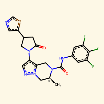 C[C@H]1Cn2ncc(N3CC(c4cncs4)CC3=O)c2CN1C(=O)Nc1cc(F)c(F)c(F)c1